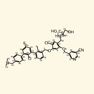 Cc1c(COc2cc(OCc3cncc(C#N)c3)c(CN[C@@](C)(CO)C(=O)O)cc2Cl)cccc1-c1cc(F)cc(-c2ccc(CN(C)C)cc2)c1Cl